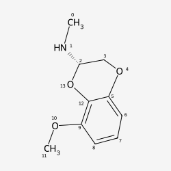 CN[C@@H]1COc2cccc(OC)c2O1